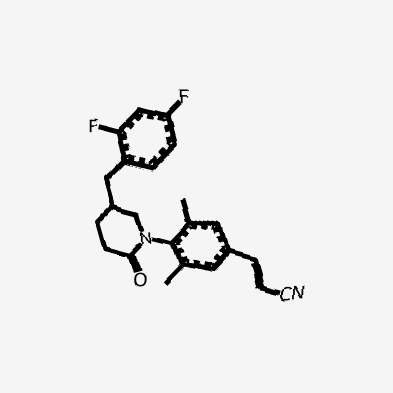 Cc1cc(C=CC#N)cc(C)c1N1CC(Cc2ccc(F)cc2F)CCC1=O